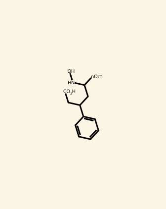 CCCCCCCCC(CC(CC(=O)O)c1ccccc1)NO